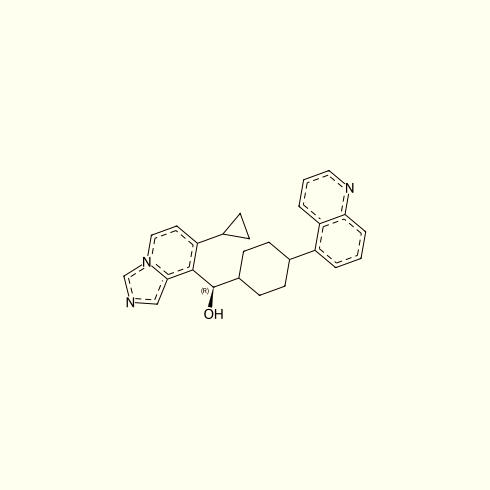 O[C@@H](c1c(C2CC2)ccn2cncc12)C1CCC(c2cccc3ncccc23)CC1